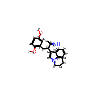 COc1ccc(OC)c(CC(C(C)=N)c2cn3c4c(cccc24)CCC3)c1